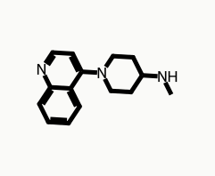 CNC1CCN(c2ccnc3ccccc23)CC1